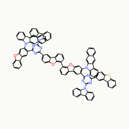 c1ccc2cc3c(cc2c1)c1ccccc1n3-c1cc2oc3ccccc3c2cc1-c1nc(-c2ccc3oc4c(-c5cccc6c5oc5cc(-n7c8ccccc8c8cc9ccccc9cc87)c(-c7nc(-c8ccc9sc%10ccccc%10c9c8)nc(-n8c9ccccc9c9ccccc98)n7)cc56)cccc4c3c2)nc(-n2c3ccccc3c3ccccc32)n1